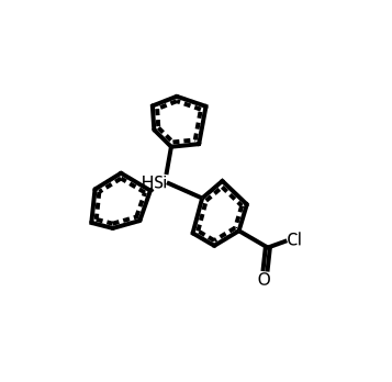 O=C(Cl)c1ccc([SiH](c2ccccc2)c2ccccc2)cc1